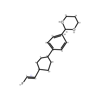 F/C=C/C1CCC(c2ccc(C3OCCCO3)cc2)CC1